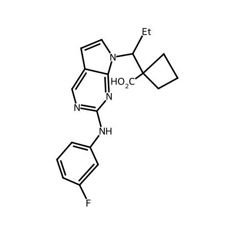 [CH2]CC(n1ccc2cnc(Nc3cccc(F)c3)nc21)C1(C(=O)O)CCC1